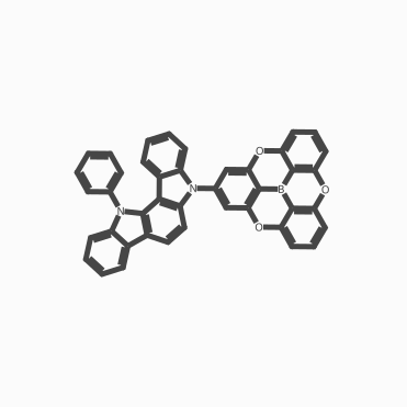 c1ccc(-n2c3ccccc3c3ccc4c(c5ccccc5n4-c4cc5c6c(c4)Oc4cccc7c4B6c4c(cccc4O5)O7)c32)cc1